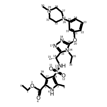 CCOC(=O)c1[nH]c(C)c(S(=O)(=O)N[C@H](C)c2nnc(Oc3cccc(N4CCN(C)CC4)c3)n2CC)c1C